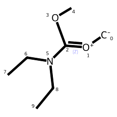 [CH2-]/[O+]=C(\OC)N(CC)CC